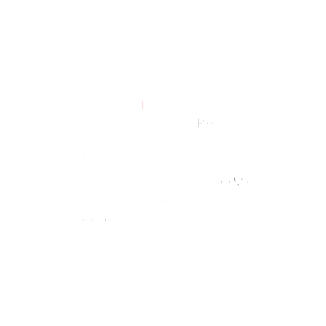 COC1OC(C=O)C(O)C(O)[CH]1[Re]